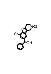 OC(c1ccccc1)c1cc(Cl)c2oc3c(c2c1)CN(Cl)CC3